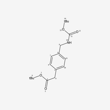 CC(C)(C)OC(=O)Cc1ccc(CNC(=O)OC(C)(C)C)cc1